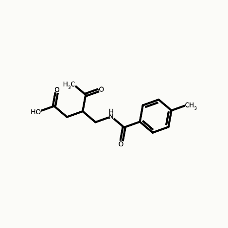 CC(=O)C(CNC(=O)c1ccc(C)cc1)CC(=O)O